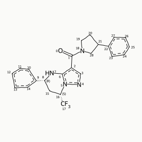 O=C(c1cnn2c1N[C@@H](c1ccccc1)C[C@H]2C(F)(F)F)N1CCC(c2ccccc2)C1